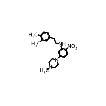 Cc1ccc(CCNc2cc(N3CCN(C)CC3)ccc2[N+](=O)[O-])cc1C